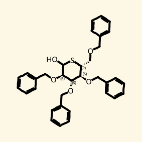 OC1S[C@H](COCc2ccccc2)[C@@H](OCc2ccccc2)[C@H](OCc2ccccc2)[C@H]1OCc1ccccc1